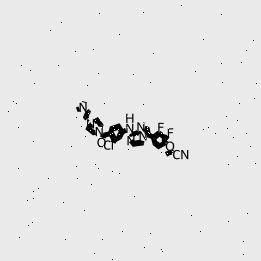 CC(C#N)Oc1ccc(-c2cnc3c(Nc4ccc(C(=O)N5CCN(CCN(C)C)CC5)c(Cl)c4)nccn23)c(F)c1F